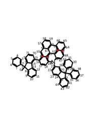 CC1(c2ccccc2)c2ccccc2-c2c(-c3ccc(N(c4ccc5c(c4)C(C4=CCCC=C4)(c4ccccc4)c4ccccc4-5)c4ccccc4-c4cccc5cccc(-c6ccccc6)c45)cc3)cccc21